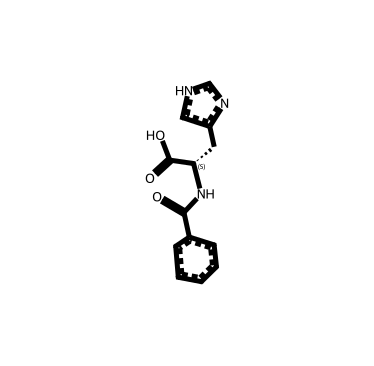 O=C(N[C@@H](Cc1c[nH]cn1)C(=O)O)c1ccccc1